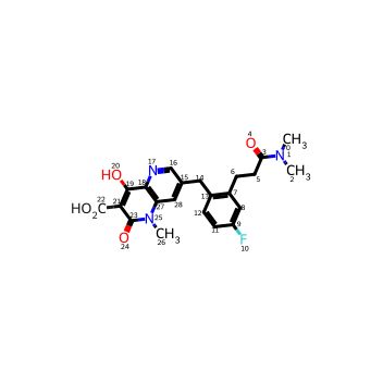 CN(C)C(=O)CCc1cc(F)ccc1Cc1cnc2c(O)c(C(=O)O)c(=O)n(C)c2c1